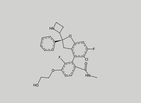 CNC(=O)c1ccc(OCCO)c(F)c1-c1c(Cl)c(F)cc2c1C[C@](c1ccccc1)(C1CCN1)O2